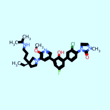 CC[C@]1(CCCNC(C)C)CCN(c2cc(-c3cc(F)cc(-c4ccc(-n5ccn(C)c5=O)c(Cl)c4)c3O)cnc2OC)C1